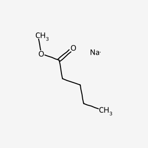 CCCCC(=O)OC.[Na]